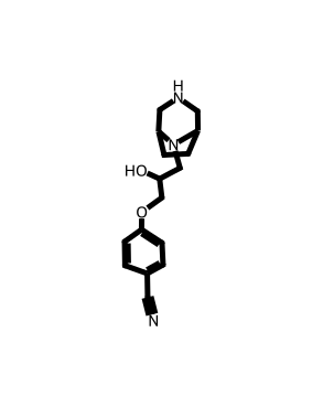 N#Cc1ccc(OCC(O)CN2C3CCC2CNC3)cc1